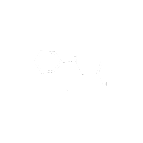 O=C(O)CNc1ccccc1.[Fe]